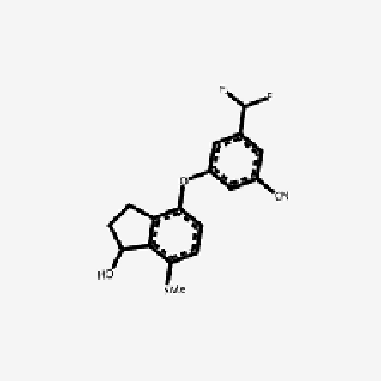 CSc1ccc(Oc2cc(C#N)cc(C(F)F)c2)c2c1C(O)CC2